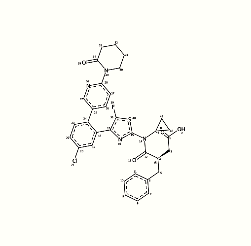 O=C(O)C[C@@H](Cc1ccccc1)C(=O)N(c1nc(-c2cc(Cl)ccc2-c2ccc(N3CCCCC3=O)nc2)c(F)s1)C1CC1